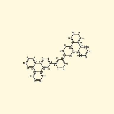 c1cc(-c2ccc3c4ccccc4c4ccccc4c3c2)cc(C2CCc3c(c4nccnc4c4ccccc34)C2)c1